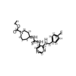 CCOC(=O)N1CCCC(NC(=S)Nc2cncnc2NCc2ccc(F)cc2)CC1